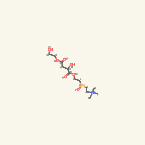 C[N+](C)(C)CC[PH](=O)CCOC(=O)C(O)CC(=O)OCCO